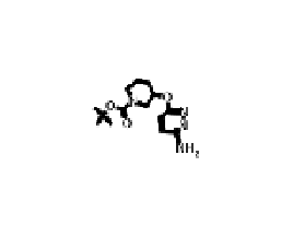 CC(C)(C)OC(=O)N1CCCC(Oc2ccc(N)nn2)C1